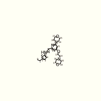 CCc1ccc(N/N=C/c2nc(OCCN3CCOCC3)cc(N3CCOCC3)n2)s1